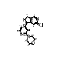 Clc1cc2c(cn1)CN=C2c1ccnc(N2CCOCC2)c1